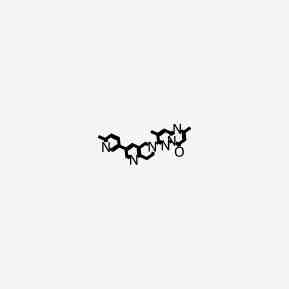 Cc1ccc(-c2cnc3c(c2)CN(c2nn4c(=O)cc(C)nc4cc2C)CC3)cn1